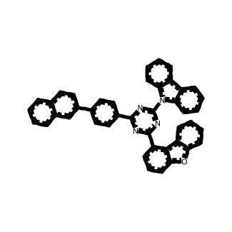 c1ccc2cc(-c3ccc(-c4nc(-c5cccc6oc7ccccc7c56)nc(-n5c6ccccc6c6ccccc65)n4)cc3)ccc2c1